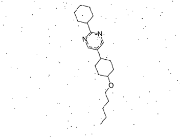 CCCCCOC1CCC(c2cnc(C3CCCCC3)nc2)CC1